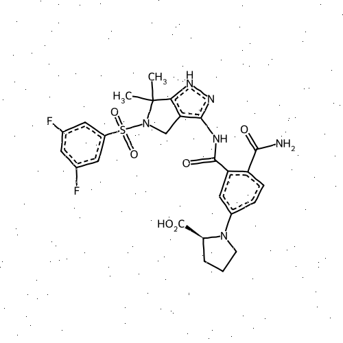 CC1(C)c2[nH]nc(NC(=O)c3cc(N4CCC[C@H]4C(=O)O)ccc3C(N)=O)c2CN1S(=O)(=O)c1cc(F)cc(F)c1